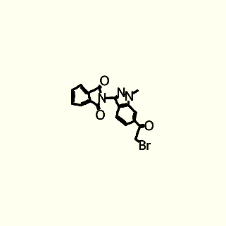 Cn1nc(N2C(=O)c3ccccc3C2=O)c2ccc(C(=O)CBr)cc21